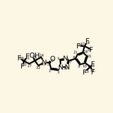 O=C(/C=C\n1cnc(-c2cc(C(F)(F)F)cc(C(F)(F)F)c2)n1)N1CC(O)(CC(F)(F)F)C1